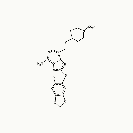 Nc1ncn(CCC2CCN(C(=O)O)CC2)c2nc(Sc3cc4c(cc3Br)OCO4)nc1-2